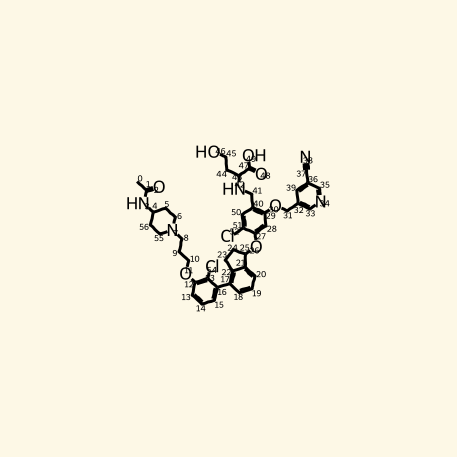 CC(=O)NC1CCN(CCCOc2cccc(-c3cccc4c3CCC4Oc3cc(OCc4cncc(C#N)c4)c(CNC(CCO)C(=O)O)cc3Cl)c2Cl)CC1